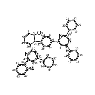 C1=CC2Oc3cc(-c4cc(-c5ccccc5)nc(-c5ccccc5)n4)ccc3C2C(c2nc(-c3ccccc3)c3sc4ccccc4c3n2)=C1